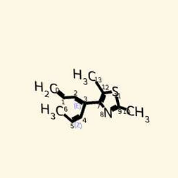 C=C/C=C(\C=C/C)c1nc(C)sc1C